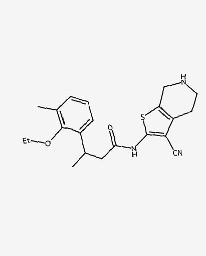 CCOc1c(C)cccc1C(C)CC(=O)Nc1sc2c(c1C#N)CCNC2